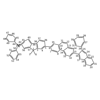 CC1(C)c2cc(-c3ccc4c(ccc5cc(-c6cc7ccccc7cc6-c6ccccc6)ccc54)c3)ccc2-c2ccc(N(c3ccccc3)c3ccccc3)cc21